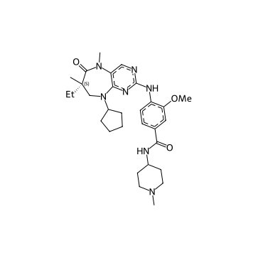 CC[C@@]1(C)CN(C2CCCC2)c2nc(Nc3ccc(C(=O)NC4CCN(C)CC4)cc3OC)ncc2N(C)C1=O